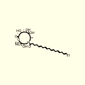 CCC=CCC=CCC=CCC=CCC=CCCCC(=O)N1C[C@H](C)C[C@@](C)(O)[C@H](O)[C@@H](C)[C@H](O)[C@@H](C)C(=O)O[C@H](CC)[C@@](C)(O)[C@H](O)[C@H]1C